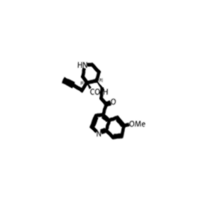 C#CC[C@]1(C(=O)O)CNCC[C@H]1CCC(=O)c1ccnc2ccc(OC)cc12